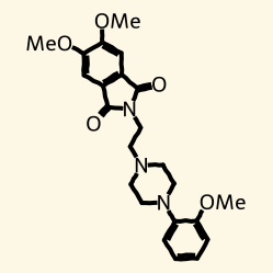 COc1cc2c(cc1OC)C(=O)N(CCN1CCN(c3ccccc3OC)CC1)C2=O